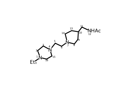 CCN1CCN(CCN2CCC(CNC(C)=O)CC2)CC1